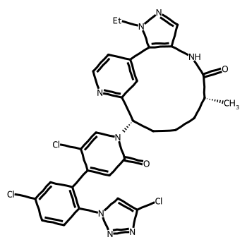 CCn1ncc2c1-c1ccnc(c1)[C@@H](n1cc(Cl)c(-c3cc(Cl)ccc3-n3cc(Cl)nn3)cc1=O)CCC[C@@H](C)C(=O)N2